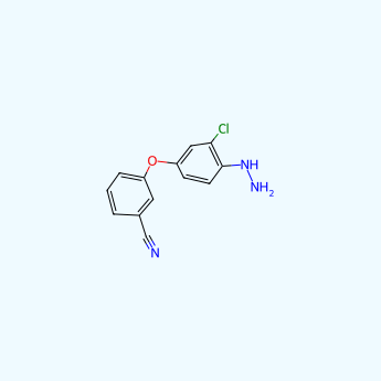 N#Cc1cccc(Oc2ccc(NN)c(Cl)c2)c1